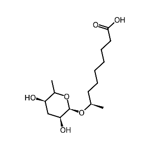 CC1O[C@@H](O[C@H](C)CCCCCCC(=O)O)[C@@H](O)C[C@H]1O